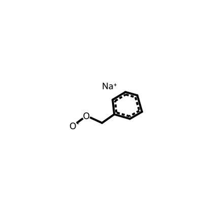 [Na+].[O-]OCc1ccccc1